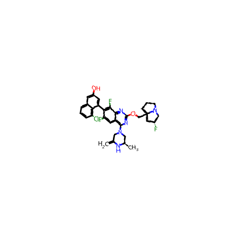 C=C1CN(c2nc(OCC34CCCN3C[C@H](F)C4)nc3c(F)c(-c4cc(O)cc5cccc(Cl)c45)c(F)cc23)C[C@@H](C)N1